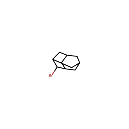 BrC1C2CC3CC(C2)CC1C3